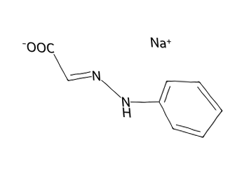 O=C([O-])C=NNc1ccccc1.[Na+]